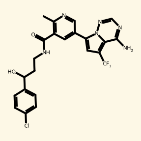 Cc1ncc(-c2cc(C(F)(F)F)c3c(N)ncnn23)cc1C(=O)NCCC(O)c1ccc(Cl)cc1